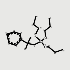 CCC[O][Zr]([CH2]C(C)(C)c1ccccc1)([O]CCC)[O]CCC